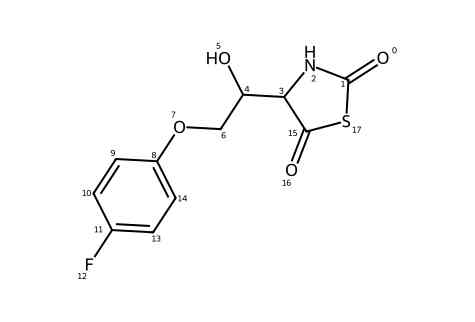 O=C1NC(C(O)COc2ccc(F)cc2)C(=O)S1